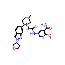 COc1ncc(NC(=O)C(=O)N2CC(C)CCC2c2ccc3cn(C4CCOC4)nc3c2)cc1C(N)=O